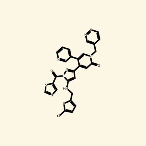 O=C(c1cncs1)n1nc(-c2cc(=O)n(Cc3ccnnc3)cc2-c2cccnc2)cc1NCc1ccc(Cl)s1